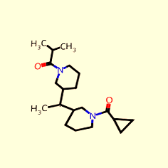 C[C](C1CCCN(C(=O)C(C)C)C1)C1CCCN(C(=O)C2CC2)C1